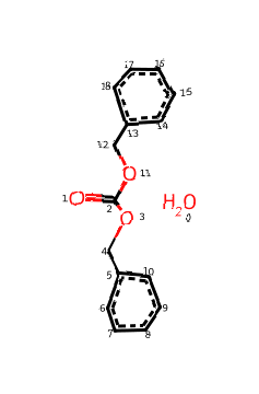 O.O=C(OCc1ccccc1)OCc1ccccc1